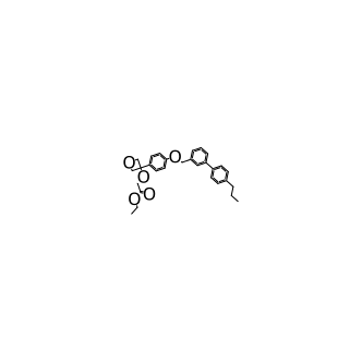 CCCc1ccc(-c2cccc(COc3ccc(C4(OCC(=O)OCC)COC4)cc3)c2)cc1